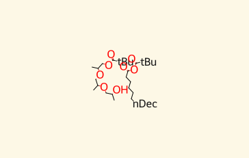 CC(O)COC(C)COC(C)COC(=O)C(C)(C)C.CCCCCCCCCCCCCCCC(=O)OC(=O)C(C)(C)C